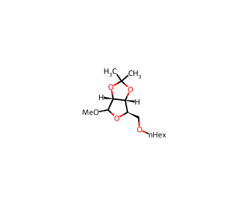 CCCCCCOC[C@H]1OC(OC)[C@@H]2OC(C)(C)O[C@H]12